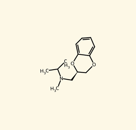 CC(C)N(C)C[C@@H]1COc2ccccc2O1